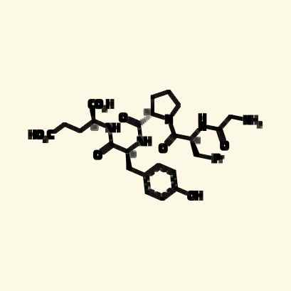 CC(C)C[C@H](NC(=O)CN)C(=O)N1CCC[C@H]1C(=O)N[C@@H](Cc1ccc(O)cc1)C(=O)N[C@@H](CCC(=O)O)C(=O)O